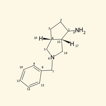 NC1CC[C@H]2CN(Cc3ccccc3)C[C@@H]12